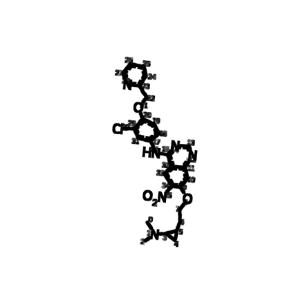 CN(C)C1CC1CCOc1cc2ncnc(Nc3ccc(OCc4ccccn4)c(Cl)c3)c2cc1[N+](=O)[O-]